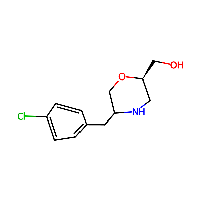 OC[C@H]1CNC(Cc2ccc(Cl)cc2)CO1